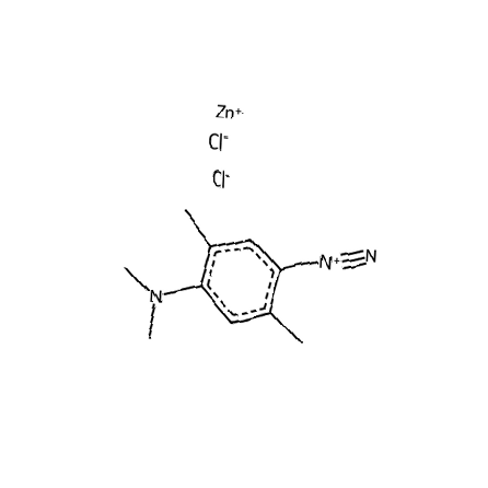 Cc1cc(N(C)C)c(C)cc1[N+]#N.[Cl-].[Cl-].[Zn+]